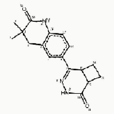 CC1(C)Cc2cc(C3=NNC(=O)C4CCC34)ccc2NC1=O